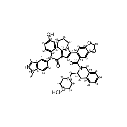 Cl.Cn1ncc2cc(N(C(=O)c3cc(-c4cc5c(cc4C(=O)N4Cc6ccccc6C[C@H]4CN4CCOCC4)OCO5)n4c3CCCC4)c3ccc(O)cc3)ccc21